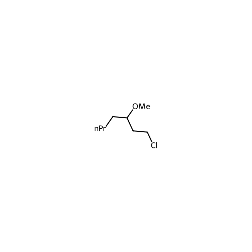 C[CH]CCC(CCCl)OC